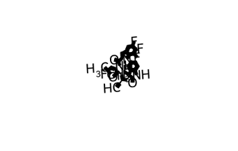 C#C[C@@H]1C[C@@]2(CN1C(=O)C(CC(C)(C)F)NC(=O)c1cc3cc(F)c(F)c(F)c3[nH]1)C(=O)Nc1ccccc12